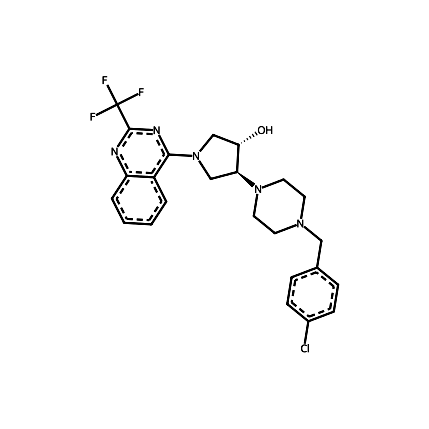 O[C@H]1CN(c2nc(C(F)(F)F)nc3ccccc23)C[C@@H]1N1CCN(Cc2ccc(Cl)cc2)CC1